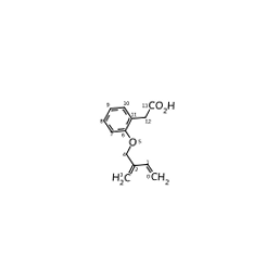 C=CC(=C)COc1ccccc1CC(=O)O